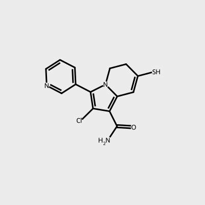 NC(=O)c1c(Cl)c(-c2cccnc2)n2c1C=C(S)CC2